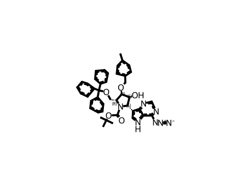 Cc1ccc(CO[C@H]2[C@@H](O)[C@H](c3c[nH]c4c(N=[N+]=[N-])ncnc34)N(C(=O)OC(C)(C)C)[C@@H]2COC(c2ccccc2)(c2ccccc2)c2ccccc2)cc1